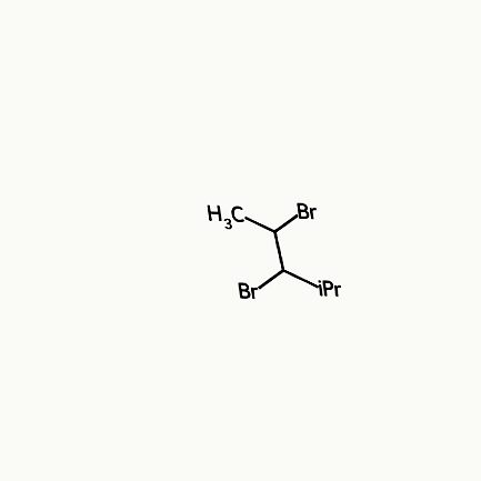 CC(C)C(Br)C(C)Br